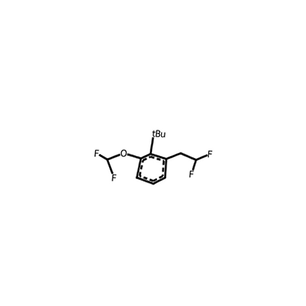 CC(C)(C)c1c(CC(F)F)cccc1OC(F)F